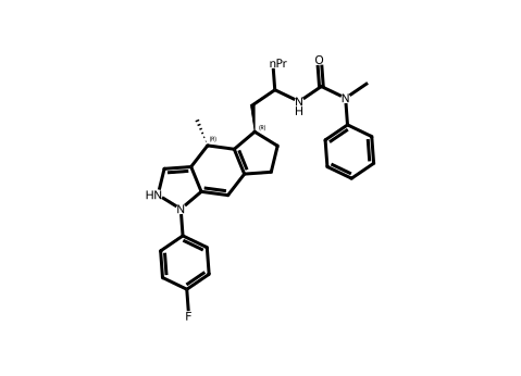 CCCC(C[C@H]1CCC2=C1[C@@H](C)C1=CNN(c3ccc(F)cc3)C1=C2)NC(=O)N(C)c1ccccc1